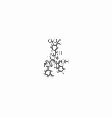 CC1(C)OC(=O)c2ccc(Nc3ncc(-c4nc(-c5cccc(F)c5)no4)c(NC(CO)c4ccccc4)n3)cc21